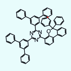 c1ccc(-c2cc(-c3ccccc3)cc(-c3nc(-c4cc(-c5ccccc5)cc(-c5ccccc5)c4)nc(-c4cccc5c4OC(c4ccccc4)(c4ccccc4)c4ccccc4-5)n3)c2)cc1